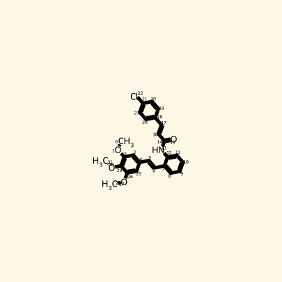 COc1cc(/C=C/c2ccccc2NC(=O)/C=C/c2ccc(Cl)cc2)cc(OC)c1OC